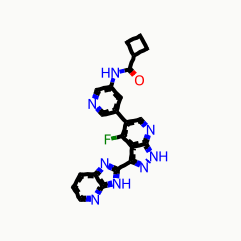 O=C(Nc1cncc(-c2cnc3[nH]nc(-c4nc5cccnc5[nH]4)c3c2F)c1)C1CCC1